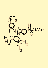 COC(=O)Nc1ccc2c(c1)nc(Nc1ccc(OC(F)(F)F)cc1)n2C1CC(C)(C)CC(C)(C)C1